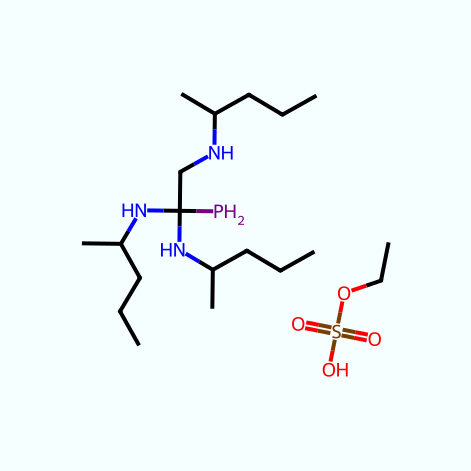 CCCC(C)NCC(P)(NC(C)CCC)NC(C)CCC.CCOS(=O)(=O)O